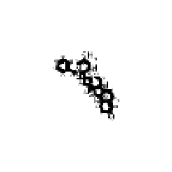 C[C@H]1C[C@H]2O[C@@]34CC[C@H]5C6CCC7=CC(=O)CC[C@]7(C)[C@H]6CC56CC63C[C@@H]4[C@@H]2N(Cc2ccccc2)C1